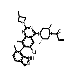 C=CC(=O)N1C[C@H](C)N(c2nc(N3CC(C)C3)nc3c(F)c(-c4c(C)ccc5cn[nH]c45)c(Cl)cc23)C[C@H]1C